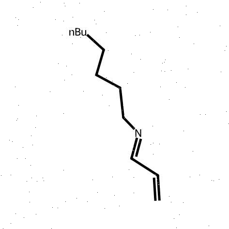 C=C/C=N/CCCCCCCC